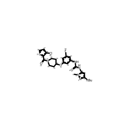 Cn1nc(C(C)(C)C)cc1NC(=O)Nc1cc(F)cc(OC2CCN(C(=O)c3sccc3Cl)CC2)c1